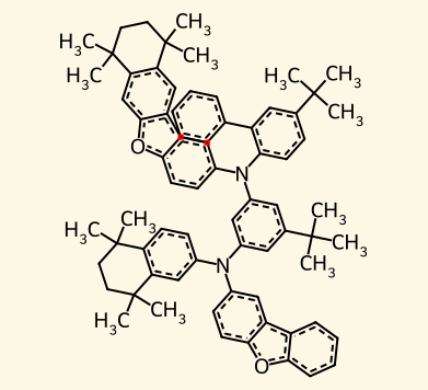 CC(C)(C)c1cc(N(c2ccc3c(c2)C(C)(C)CCC3(C)C)c2ccc3oc4ccccc4c3c2)cc(N(c2ccc3oc4cc5c(cc4c3c2)C(C)(C)CCC5(C)C)c2ccc(C(C)(C)C)cc2-c2ccccc2)c1